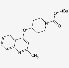 Cc1cc(OC2CCN(C(=O)OC(C)(C)C)CC2)c2ccccc2n1